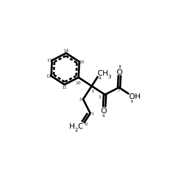 C=CCC(C)(C(=O)C(=O)O)c1ccccc1